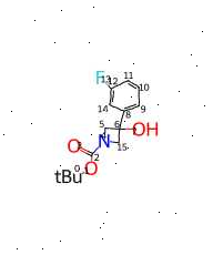 CC(C)(C)OC(=O)N1CC(O)(c2cccc(F)c2)C1